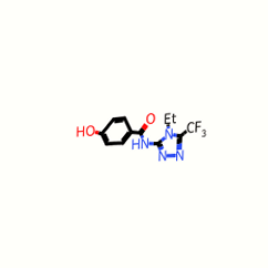 CCn1c(NC(=O)c2ccc(O)cc2)nnc1C(F)(F)F